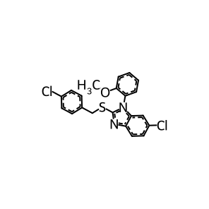 COc1ccccc1-n1c(SCc2ccc(Cl)cc2)nc2ccc(Cl)cc21